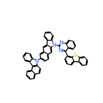 c1ccc2c(c1)ccc1c2c2ccccc2n1-c1ccc2cc3c(cc2c1)c1ccccc1n3-c1nc(-c2cccc3c2sc2ccccc23)c2ccccc2n1